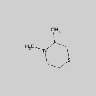 CC1CSCCN1C